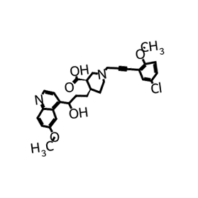 COc1ccc2nccc(C(O)CC[C@@H]3CCN(CC#Cc4cc(Cl)ccc4OC)C[C@@H]3C(=O)O)c2c1